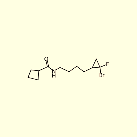 O=C(NCCCCC1CC1(F)Br)C1CCC1